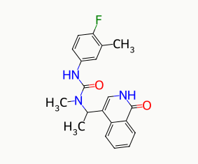 Cc1cc(NC(=O)N(C)C(C)c2c[nH]c(=O)c3ccccc23)ccc1F